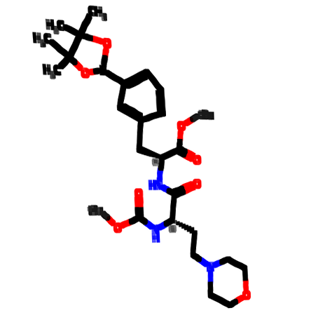 CC(C)(C)OC(=O)N[C@@H](CCN1CCOCC1)C(=O)N[C@@H](Cc1cccc(B2OC(C)(C)C(C)(C)O2)c1)C(=O)OC(C)(C)C